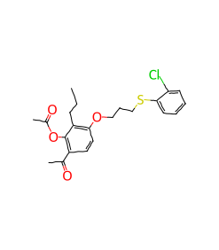 CCCc1c(OCCCSc2ccccc2Cl)ccc(C(C)=O)c1OC(C)=O